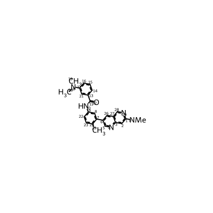 CNc1cc2ncc(-c3cc(NC(=O)c4cccc(N(C)C)c4)ccc3C)cc2cn1